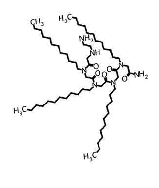 CCCCCCCCCCCCN(CC(N)=O)C(=O)CN(CCCCCCCCCCCC)C(=O)CN(CCCCCCCCCCCC)C(=O)CN(CCCCCCCCCCCC)C(=O)CNCCN